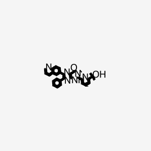 CN(Cc1cccc(C(C)(C)O)n1)C(=O)c1nc(-c2ccc3ncccc3c2)c(-c2ccccc2)nc1N